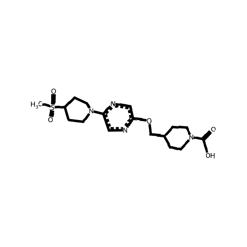 CS(=O)(=O)C1CCN(c2cnc(OCC3CCN(C(=O)O)CC3)cn2)CC1